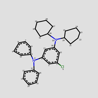 Clc1cc(N(c2ccccc2)c2ccccc2)cc(N(C2CCCCC2)C2CCCCC2)c1